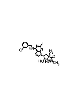 CNC(=O)C1(C)C[C@@H](n2cnc3c(NCc4cccc(Cl)c4)nc(I)nc32)[C@H](O)[C@@H]1O